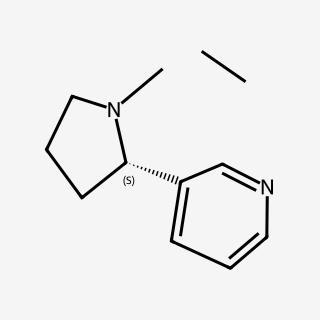 CC.CN1CCC[C@H]1c1cccnc1